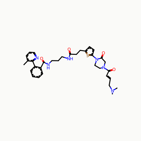 Cc1cccnc1-c1ccccc1C(=O)NCCCNC(=O)CCc1ccc(N2CCN(C(=O)C=CCN(C)C)CC2=O)s1